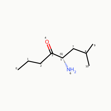 CC[CH]C(=O)[C@@H](N)CC(C)C